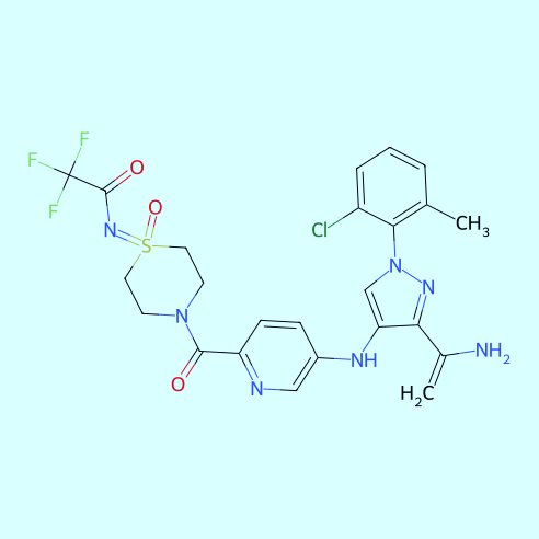 C=C(N)c1nn(-c2c(C)cccc2Cl)cc1Nc1ccc(C(=O)N2CCS(=O)(=NC(=O)C(F)(F)F)CC2)nc1